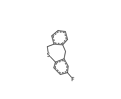 Fc1ccc2c(c1)Cc1ccccc1CS2